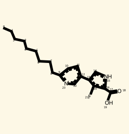 CCCCCCCCCc1ccc(-c2c[nH]c(C(=O)O)c2F)cn1